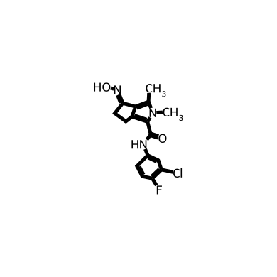 Cc1c2c(c(C(=O)Nc3ccc(F)c(Cl)c3)n1C)CC/C2=N\O